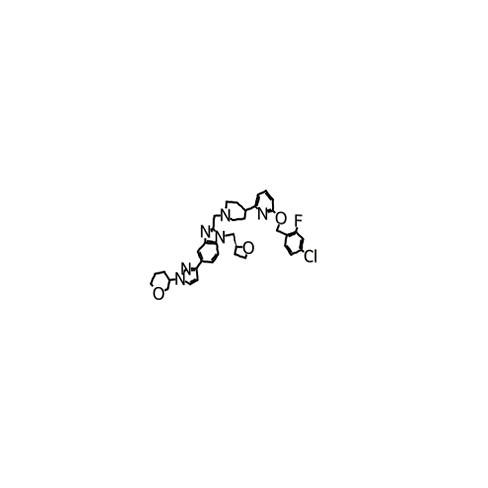 Fc1cc(Cl)ccc1COc1cccc(C2CCN(Cc3nc4cc(-c5ccn(C6CCCOC6)n5)ccc4n3C[C@@H]3CCO3)CC2)n1